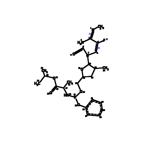 C/N=C(N)\C(F)=C/N(C=O)C1OC(COP(NC(C)C(=O)OC(C)C)Oc2ccccc2)CC1C